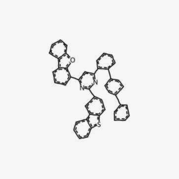 c1ccc(-c2ccc(-c3ccccc3-c3cc(-c4cccc5c4oc4ccccc45)nc(-c4ccc5sc6ccccc6c5c4)n3)cc2)cc1